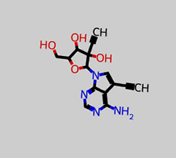 C#Cc1cn(C2OC(CO)C(O)C2(O)C#C)c2ncnc(N)c12